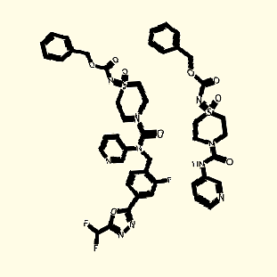 O=C(N=S1(=O)CCN(C(=O)N(Cc2ccc(-c3nnc(C(F)F)o3)cc2F)c2cccnc2)CC1)OCc1ccccc1.O=C(N=S1(=O)CCN(C(=O)Nc2cccnc2)CC1)OCc1ccccc1